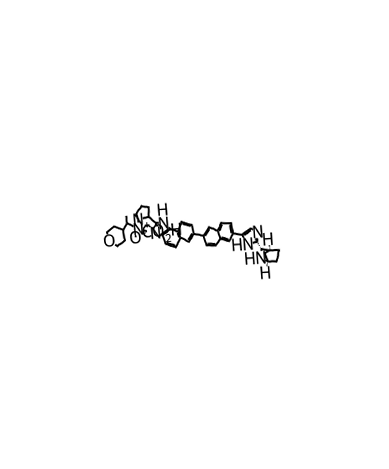 CC(C1CCOCC1)[N+]([O-])(C(=O)O)N1CCCC1c1nc2ccc3cc(-c4ccc5cc(-c6cnc([C@H]7N[C@@H]8CC[C@H]7C8)[nH]6)ccc5c4)ccc3c2[nH]1